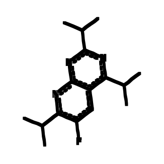 CC(C)c1nc(C(C)C)c2cc(F)c(C(C)C)nc2n1